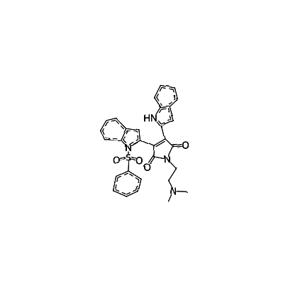 CN(C)CCN1C(=O)C(c2cc3ccccc3[nH]2)=C(c2cc3ccccc3n2S(=O)(=O)c2ccccc2)C1=O